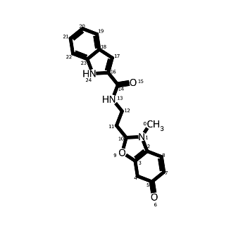 CN1C2=C(CC(=O)C=C2)OC1CCNC(=O)c1cc2ccccc2[nH]1